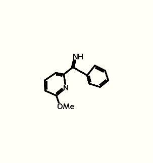 COc1cccc(C(=N)c2ccccc2)n1